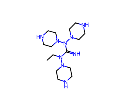 CCN(C(=N)N(N1CCNCC1)N1CCNCC1)N1CCNCC1